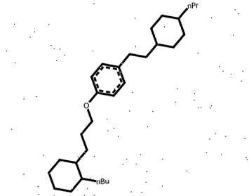 CCCCC1CCCCC1CCCOc1ccc(CCC2CCC(CCC)CC2)cc1